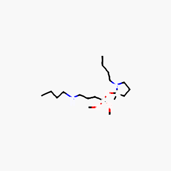 CCCCNCCC[Si](OC)(OC)O[Si]1(C)CCCN1CCCC